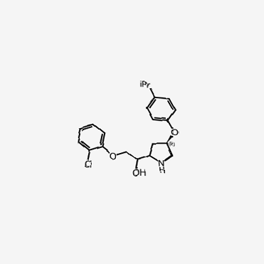 CC(C)c1ccc(O[C@H]2CNC(C(O)COc3ccccc3Cl)C2)cc1